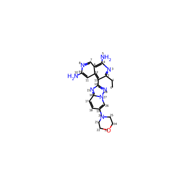 CCc1nc(N)c2cnc(N)cc2c1-c1nc2ccc(N3CCOCC3)cn2n1